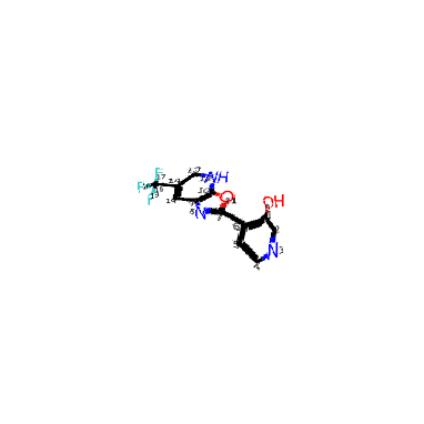 Oc1cnccc1-c1nc2c(o1)NCC(C(F)(F)F)=C2